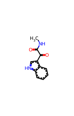 CNC(=O)C(=O)c1c[nH]c2ccccc12